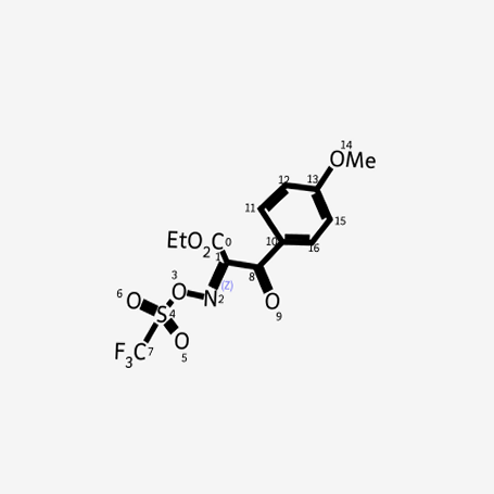 CCOC(=O)/C(=N\OS(=O)(=O)C(F)(F)F)C(=O)c1ccc(OC)cc1